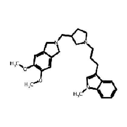 COc1cc2c(cc1OC)CN(CC1CCN(CCCc3cn(C)c4ccccc34)C1)C2